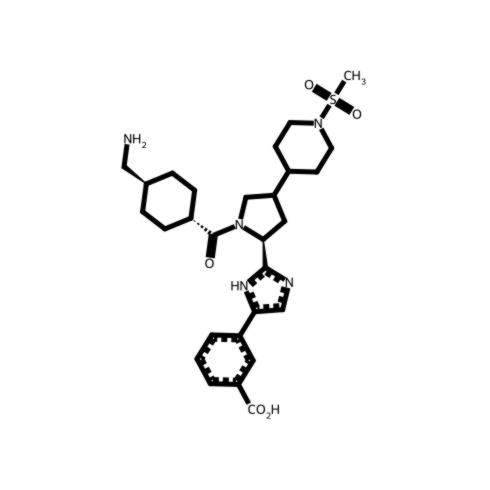 CS(=O)(=O)N1CCC(C2C[C@@H](c3ncc(-c4cccc(C(=O)O)c4)[nH]3)N(C(=O)[C@H]3CC[C@H](CN)CC3)C2)CC1